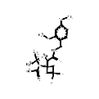 COc1ccc(CNC(=O)C(O)C2(N(C(=O)O)C(C)(C)C)CC(F)(F)C2)c(OC)c1